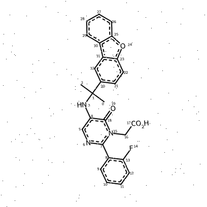 CC(C)(Nc1cnc(-c2ccccc2F)n(CC(=O)O)c1=O)c1ccc2oc3ccccc3c2c1